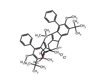 COc1c(C(C)(C)C)cc2c(c1-c1ccccc1)C1=C(CC(C)C)[CH]2[Zr+2][CH]2C(CC(C)C)=C(c3c2cc(C(C)(C)C)c(OC)c3-c2ccccc2)[Si]1(C)C.[Cl-].[Cl-]